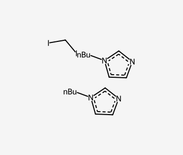 CCCCn1ccnc1.CCCCn1ccnc1.ICI